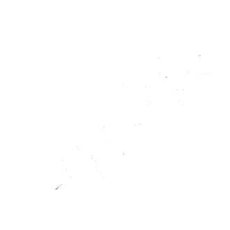 CCC[C@H]1CC[C@H](c2ccc(-c3ccc(C4CO4)c(F)c3F)cc2)CC1